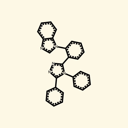 c1ccc(-c2nnc(-c3ccccc3-n3cnc4ccccc43)n2-c2ccccc2)cc1